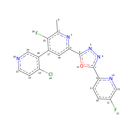 Cc1nc(-c2nnc(-c3ccc(F)cn3)o2)cc(-c2cnccc2Cl)c1F